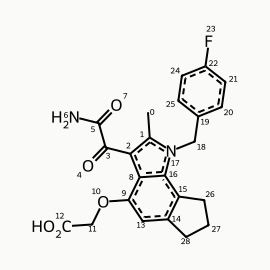 Cc1c(C(=O)C(N)=O)c2c(OCC(=O)O)cc3c(c2n1Cc1ccc(F)cc1)CCC3